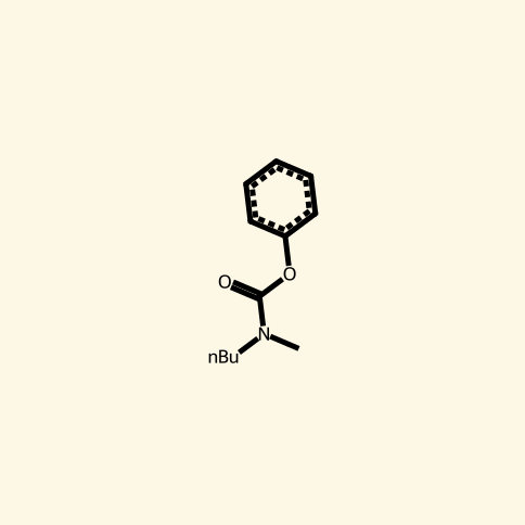 CCCCN(C)C(=O)Oc1ccccc1